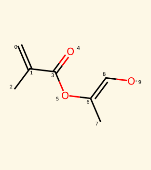 C=C(C)C(=O)OC(C)=C[O]